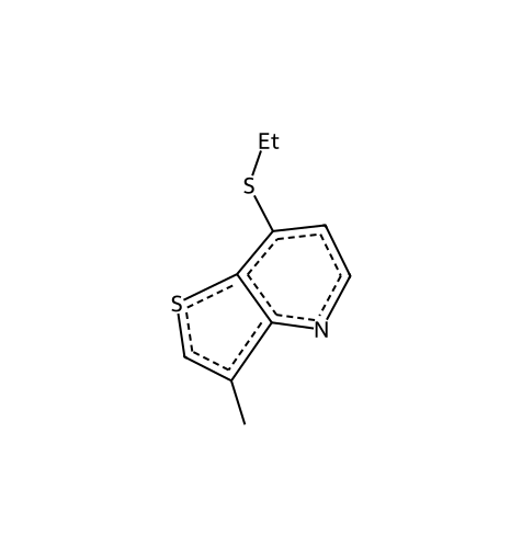 CCSc1ccnc2c(C)csc12